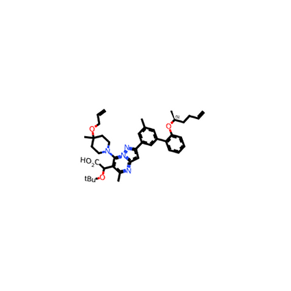 C=CCC[C@H](C)Oc1ccccc1-c1cc(C)cc(-c2cc3nc(C)c(C(OC(C)(C)C)C(=O)O)c(N4CCC(C)(OCC=C)CC4)n3n2)c1